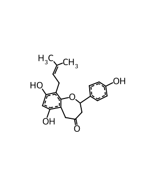 CC(C)=CCc1c(O)cc(O)c2c1OC(c1ccc(O)cc1)CC(=O)C2